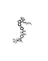 COCCn1c(=O)n(C)c2cnc3ccc(-c4ccc(NC(=O)NC5CCN(C(=O)OC(C)(C)C)CC5)cc4)cc3c21